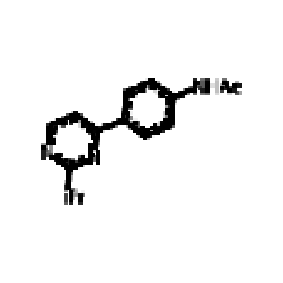 CC(=O)Nc1ccc(-c2ccnc(C(C)C)n2)cc1